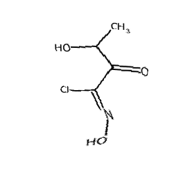 CC(O)C(=O)/C(Cl)=N/O